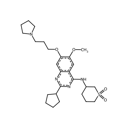 COc1cc2c(NC3CCCS(=O)(=O)C3)nc(C3CCCC3)nc2cc1OCCCN1CCCC1